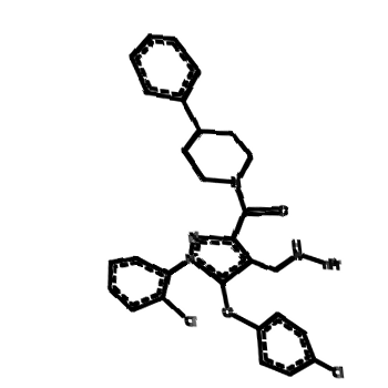 CCCNCc1c(C(=O)N2CCC(c3ccccc3)CC2)nn(-c2ccccc2Cl)c1Oc1ccc(Cl)cc1